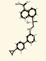 CC[C@](C)(CNc1cc(-c2ccc(C3CC3)nc2)ncn1)c1cccc2c(C(=O)NC)ccnc12